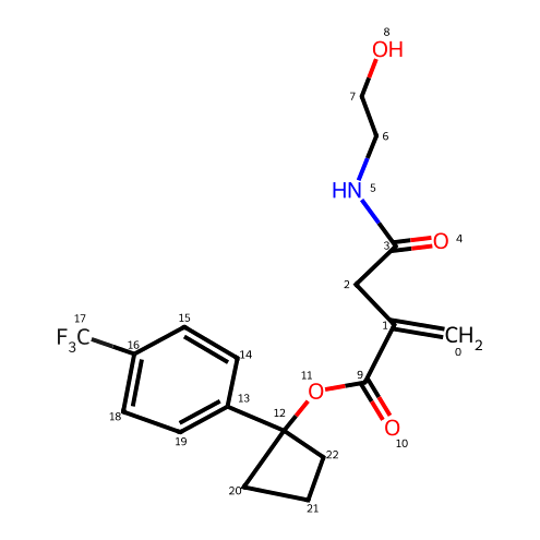 C=C(CC(=O)NCCO)C(=O)OC1(c2ccc(C(F)(F)F)cc2)CCC1